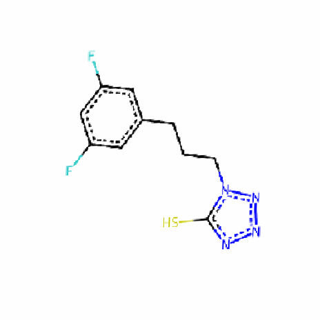 Fc1cc(F)cc(CCCn2nnnc2S)c1